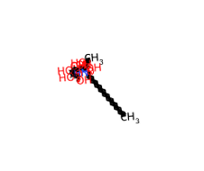 CCCCCCCCCCCCCCCCCCCC(=O)NC(C(O)C(O)CC)C(O)C1O[C@H](CO)[C@H](O)[C@H](O)[C@H]1O